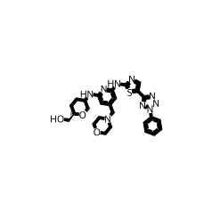 OC[C@H]1CCC(Nc2cc(CN3CCOCC3)cc(Nc3ncc(-c4nnn(-c5ccccc5)n4)s3)n2)CO1